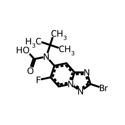 CC(C)(C)N(C(=O)O)c1cc2nc(Br)nn2cc1F